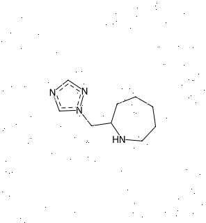 c1ncn(CC2CCCCCN2)n1